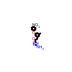 Cc1cc(CC(=O)c2nc(N)ns2)cc(Oc2ccc([N+](=O)[O-])cc2)c1